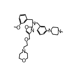 COc1cccc(CN(Cc2cccc(N3CCN(C)CC3)c2)c2nc(COCCN3CCOCC3)co2)c1